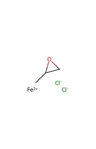 CC1CO1.[Cl-].[Cl-].[Fe+2]